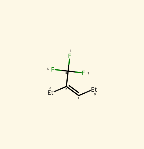 CC/C=C(/CC)C(F)(F)F